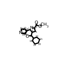 COC(=O)C1CC2C(=N1)c1ccncc1OC2C1CCCCC1